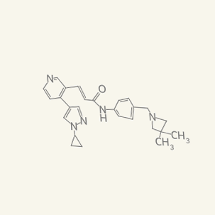 CC1(C)CN(Cc2ccc(NC(=O)C=Cc3cnccc3-c3cnn(C4CC4)c3)cc2)C1